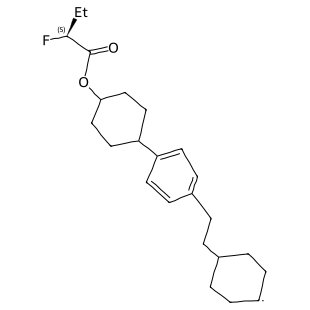 CC[C@H](F)C(=O)OC1CCC(c2ccc(CCC3CC[CH]CC3)cc2)CC1